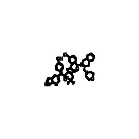 Cn1c(-c2cc(Cl)ccc2C(=O)N2Cc3ccccc3C[C@H]2CN2CCOCC2)cc(C(=O)N(c2ccc(O)cc2)c2cnc3[nH]ccc3c2)c1CC(F)(F)F